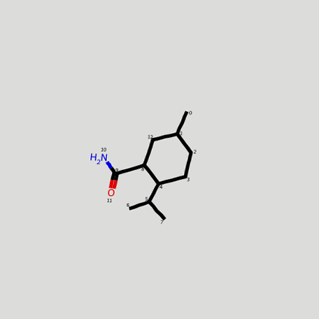 CC1CCC(C(C)C)C(C(N)=O)C1